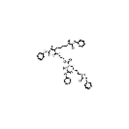 O=C(NCCCCC(NC(=O)Oc1ccccc1)C(=O)OCCOC(=O)C(CCCCNC(=O)Oc1ccccc1)NC(=O)Oc1ccccc1)Oc1ccccc1